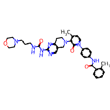 Cc1ccccc1C(=O)Nc1ccc(-n2ccc(C)c(N3CCc4nc(NC(=O)NCCCN5CCOCC5)ncc4C3)c2=O)cc1